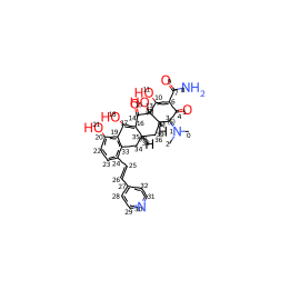 CN(C)[C@@H]1C(=O)C(C(N)=O)=C(O)[C@@]2(O)C(=O)C3=C(O)c4c(O)ccc(C=Cc5ccncc5)c4C[C@H]3C[C@@H]12